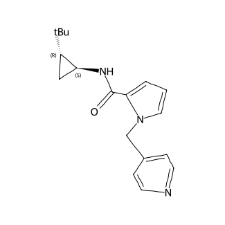 CC(C)(C)[C@H]1C[C@@H]1NC(=O)c1cccn1Cc1ccncc1